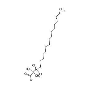 CCCCCCCCCCCCCCCC[N+](Cl)(Cl)C(C)(C)C(=O)[O-]